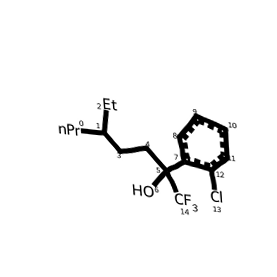 CCCC(CC)CCC(O)(c1ccccc1Cl)C(F)(F)F